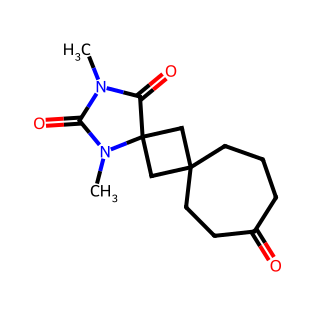 CN1C(=O)N(C)C2(CC3(CCCC(=O)CC3)C2)C1=O